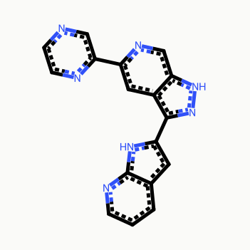 c1cnc2[nH]c(-c3n[nH]c4cnc(-c5cnccn5)cc34)cc2c1